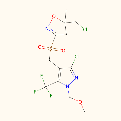 COCn1nc(Cl)c(CS(=O)(=O)C2=NOC(C)(CCl)C2)c1C(F)(F)F